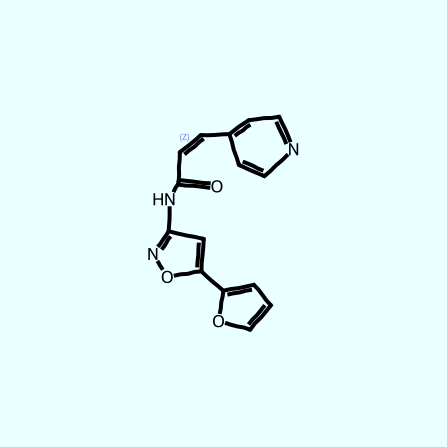 O=C(/C=C\c1ccncc1)Nc1cc(-c2ccco2)on1